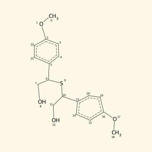 COc1ccc(C(CO)SC(CO)c2ccc(OC)cc2)cc1